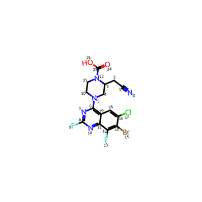 N#CCC1CN(c2nc(F)nc3c(F)c(Br)c(Cl)cc23)CCN1C(=O)O